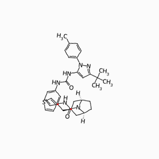 Cc1ccc(-n2nc(C(C)(C)C)cc2NC(=O)Nc2cccc(C[C@H]3C[C@H]4CC[C@@H](C3)N4C(=O)Nc3ccsc3)c2)cc1